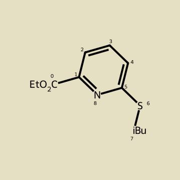 CCOC(=O)c1cccc(SC(C)CC)n1